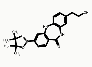 CC1(C)OB(c2ccc3c(c2)Nc2ccc(CCO)cc2NC3=O)OC1(C)C